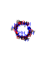 CC[C@H](C)[C@@H]1NC(=O)CN2CCN(CC2)C(=O)[C@H](C(C)C)NC(=O)[C@H](CC(=O)O)NC(=O)[C@H](CC(C)C)NC(=O)[C@H]([C@@H](C)CC)NC(=O)CN2CCN(CC2)C(=O)[C@H](C(C)C)NC(=O)[C@H](CC(=O)O)NC(=O)[C@H](CC(C)C)NC1=O